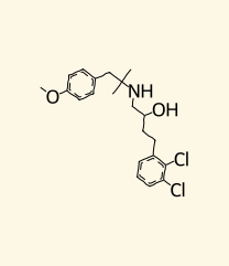 COc1ccc(CC(C)(C)NCC(O)CCc2cccc(Cl)c2Cl)cc1